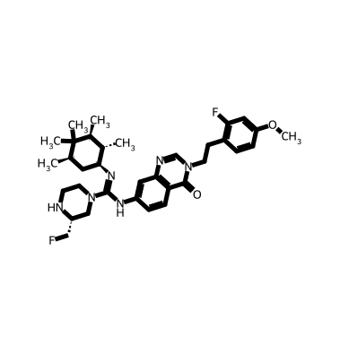 COc1ccc(CCn2cnc3cc(NC(=N[C@H]4C[C@@H](C)C(C)(C)[C@@H](C)[C@@H]4C)N4CCN[C@@H](CF)C4)ccc3c2=O)c(F)c1